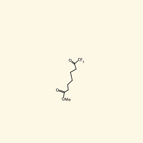 COC(=O)CCCCCC(=O)C(F)(F)F